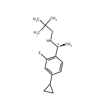 C[C@H](NSC(C)(C)C)c1ccc(C2CC2)cc1F